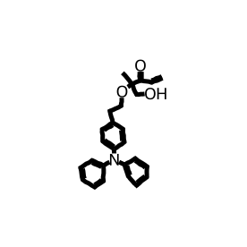 C=CC(=O)C(C)(CO)OCCc1ccc(N(c2ccccc2)c2ccccc2)cc1